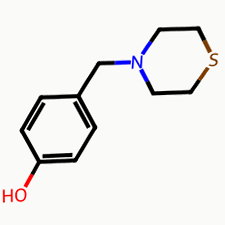 Oc1ccc(CN2CCSCC2)cc1